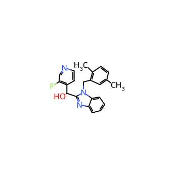 Cc1ccc(C)c(Cn2c(C(O)c3ccncc3F)nc3ccccc32)c1